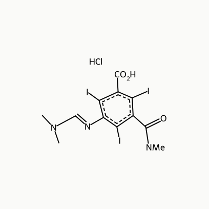 CNC(=O)c1c(I)c(N=CN(C)C)c(I)c(C(=O)O)c1I.Cl